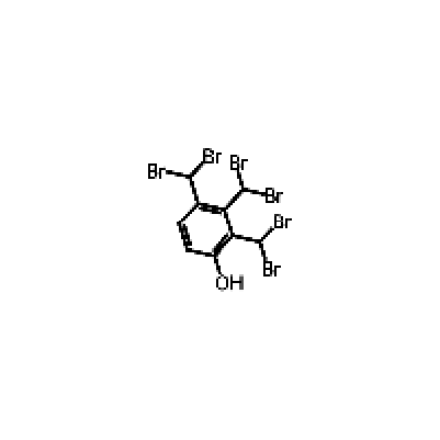 Oc1ccc(C(Br)Br)c(C(Br)Br)c1C(Br)Br